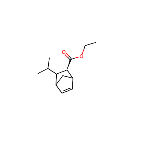 CCOC(=O)[C@H]1C2C=CC(C2)C1C(C)C